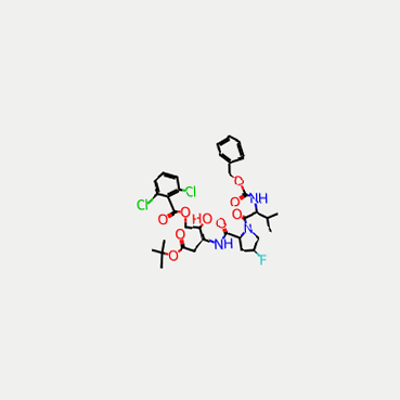 CC(C)C(NC(=O)OCc1ccccc1)C(=O)N1C[C@@H](F)CC1C(=O)N[C@@H](CC(=O)OC(C)(C)C)C(O)COC(=O)c1c(Cl)cccc1Cl